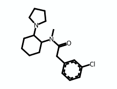 CN(C(=O)Cc1cccc(Cl)c1)C1CCCCC1N1CCCC1